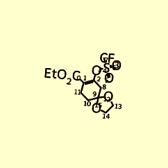 CCOC(=O)C1=C(OS(=O)(=O)C(F)(F)F)CC2(CC1)OCCO2